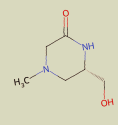 CN1CC(=O)N[C@H](CO)C1